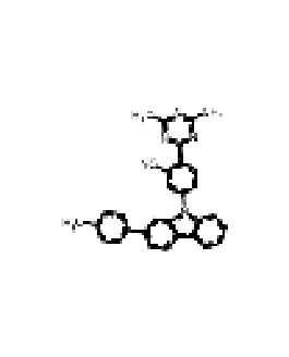 Cc1ccc(-c2ccc3c4ccccc4n(-c4ccc(-c5nc(C)nc(C)n5)c(C#N)c4)c3c2)cc1